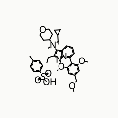 CCc1nn2c(-c3c(OC)cc(COC)cc3OC)cccc2c1[N+](C)(CC1CC1)C1CCOCC1.Cc1ccc(S(=O)(=O)O)cc1